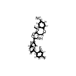 CN1C(=O)[C@@H](NC(=O)c2cn3c(-c4ccc(F)cc4F)csc3n2)COc2ccc(C#N)cc21